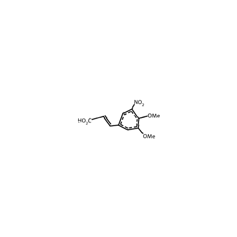 COc1cc(C=CC(=O)O)cc([N+](=O)[O-])c1OC